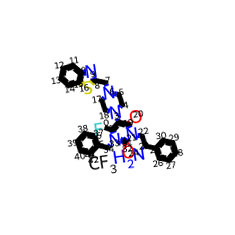 Cc1c(N2CCN(Cc3nc4ccccc4s3)CC2)c(=O)n(C[C@@H](N)c2ccccc2)c(=O)n1Cc1c(F)cccc1C(F)(F)F